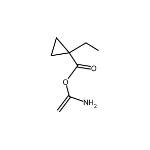 C=C(N)OC(=O)C1(CC)CC1